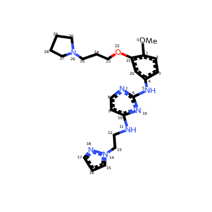 COc1ccc(Nc2nccc(NCCn3cccn3)n2)cc1OCCCN1CCCC1